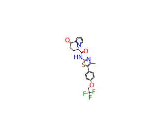 Cc1nc(NC(=O)C2CCC(=O)c3cccn32)sc1-c1ccc(OCC(F)(F)F)cc1